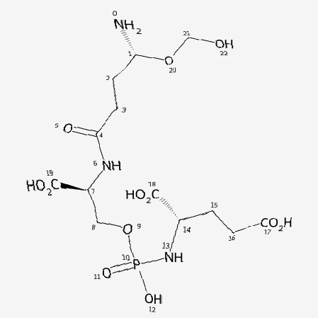 N[C@@H](CCC(=O)N[C@@H](COP(=O)(O)N[C@@H](CCC(=O)O)C(=O)O)C(=O)O)OCO